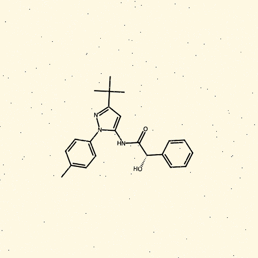 Cc1ccc(-n2nc(C(C)(C)C)cc2NC(=O)[C@@H](O)c2ccccc2)cc1